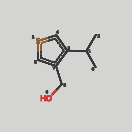 CC(C)c1cscc1CO